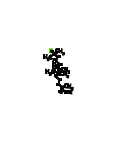 CCCC(C)C(C)CCCC(C)(C)C(C)(C)CCCC(C)(C)F